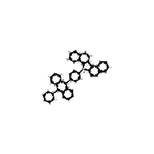 c1ccc(-c2c3ccccc3c(-c3ccc(-n4c5ccc6ccccc6c5c5ccc6ccccc6c54)cc3)c3ccccc23)cc1